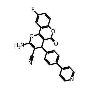 N#CC1=C(N)Oc2c(c(=O)oc3ccc(F)cc23)C1c1ccc(-c2ccncc2)cc1